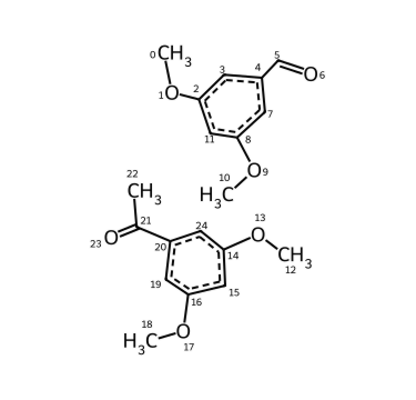 COc1cc(C=O)cc(OC)c1.COc1cc(OC)cc(C(C)=O)c1